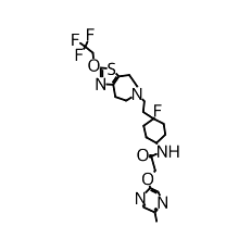 Cc1cnc(OCC(=O)N[C@H]2CC[C@](F)(CCN3CCc4nc(OCC(F)(F)F)sc4CC3)CC2)cn1